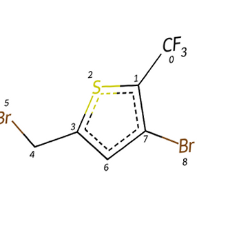 FC(F)(F)c1sc(CBr)cc1Br